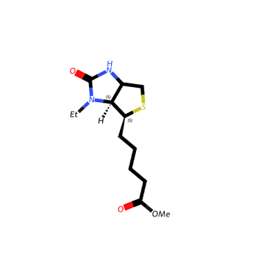 CCN1C(=O)NC2CS[C@@H](CCCCC(=O)OC)[C@H]21